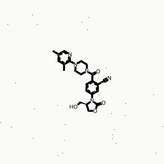 Cc1cnc(N2CCN(C(=O)c3ccc(N4C(=O)OC[C@H]4CO)cc3C#N)CC2)c(C)c1